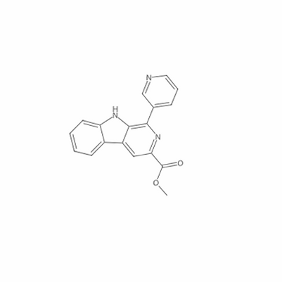 COC(=O)c1cc2c([nH]c3ccccc32)c(-c2cccnc2)n1